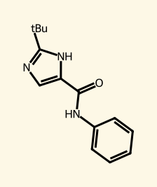 CC(C)(C)c1ncc(C(=O)Nc2ccccc2)[nH]1